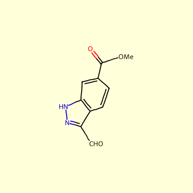 COC(=O)c1ccc2c(C=O)n[nH]c2c1